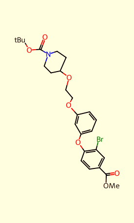 COC(=O)c1ccc(Oc2cccc(OCCOC3CCN(C(=O)OC(C)(C)C)CC3)c2)c(Br)c1